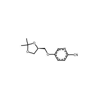 CC1(C)OC[C@H](COc2ccc(C#N)nc2)O1